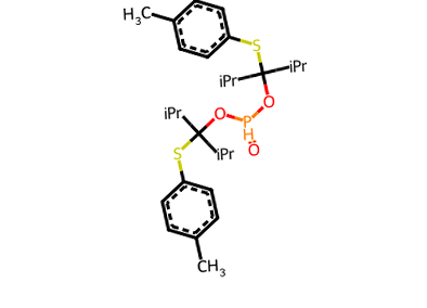 Cc1ccc(SC(O[PH](=O)OC(Sc2ccc(C)cc2)(C(C)C)C(C)C)(C(C)C)C(C)C)cc1